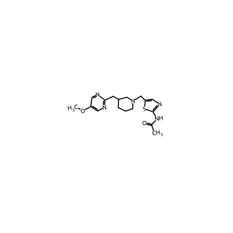 COc1cnc(CC2CCCN(Cc3cnc(NC(C)=O)s3)C2)nc1